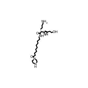 NCCCC[C@@H](C(=O)NCCCCCCCCCCC(=O)N1CCNCC1)n1cc(CCO)nn1